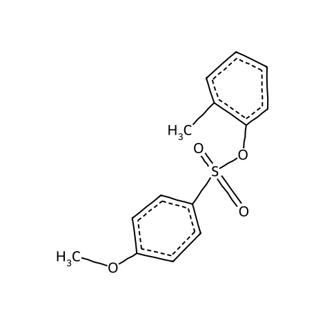 COc1ccc(S(=O)(=O)Oc2ccccc2C)cc1